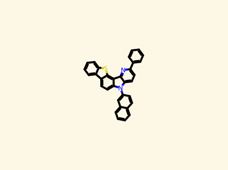 c1ccc(-c2ccc3c(n2)c2c4sc5ccccc5c4ccc2n3-c2ccc3ccccc3c2)cc1